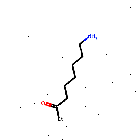 CCC(=O)CCCCCCN